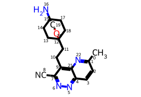 Cc1ccc2nnc(C#N)c(CCC34CCC(N)(CC3)CO4)c2n1